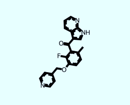 Cc1ccc(OCc2ccncc2)c(F)c1C(=O)c1c[nH]c2ncccc12